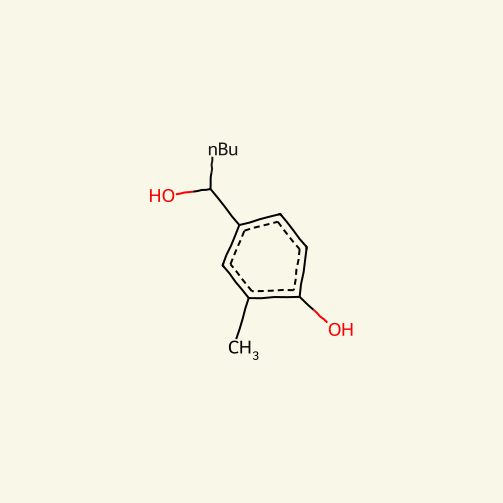 CCCCC(O)c1ccc(O)c(C)c1